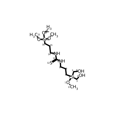 CO[Si](CO)(CO)CCCNC(=S)NCCC[Si](OC)(OC)OC